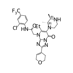 CCc1c(N2CCN[C@H](C)[C@H]2C)c(=O)n2nc(C3=CCOCC3)nc2n1CC(=O)Nc1ccc(C(F)(F)F)cc1Cl